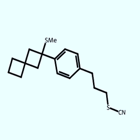 CSC1(c2ccc(CCCSC#N)cc2)CC2(CCC2)C1